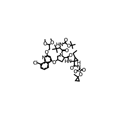 CCC1CC1(NC(=O)C1CC(Oc2cc(OCC(OC)OC)nc3c(Cl)cccc23)CN1C(=O)C(NC(=O)OC(C)(C)C)C(C)(C)C)C(=O)NS(=O)(=O)OC1(C)CC1